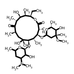 CC[C@H]1OC(=O)[C@H](C)[C@@H](OC2C[C@@](C)(OC)C(O)[C@@H](C)O2)[C@H](C)[C@@H](O[C@@H]2OC(C)CC(N(C)C)C2O)[C@](C)(O)C[C@@H](C)C(=O)[C@H](C)[C@@H](O)[C@H]1C